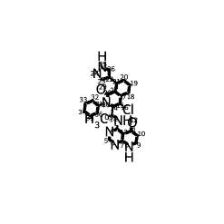 C[C@H](Nc1ncnc2[nH]ccc(=O)c12)c1c(Cl)c2cccc(-c3cn[nH]c3)c2c(=O)n1-c1ccccc1